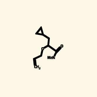 C=CCOC(CC1CC1)C(=O)NC